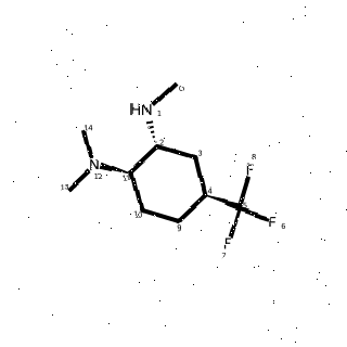 CN[C@@H]1C[C@@H](C(F)(F)F)CC[C@H]1N(C)C